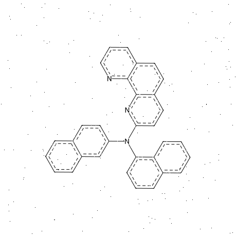 c1ccc2cc(N(c3ccc4ccc5cccnc5c4n3)c3cccc4ccccc34)ccc2c1